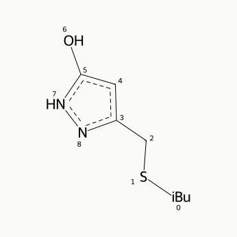 CCC(C)SCc1cc(O)[nH]n1